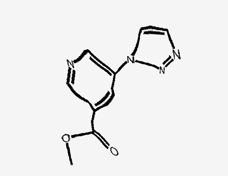 COC(=O)c1cncc(-n2ccnn2)c1